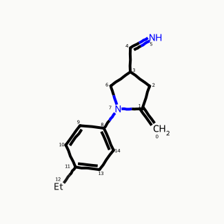 C=C1CC(C=N)CN1c1ccc(CC)cc1